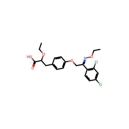 CCON=C(COc1ccc(CC(OCC)C(=O)O)cc1)c1ccc(Cl)cc1Cl